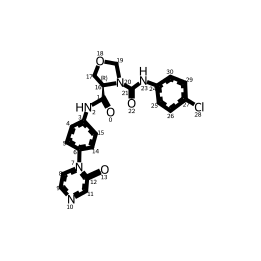 O=C(Nc1ccc(-n2ccncc2=O)cc1)[C@H]1COCN1C(=O)Nc1ccc(Cl)cc1